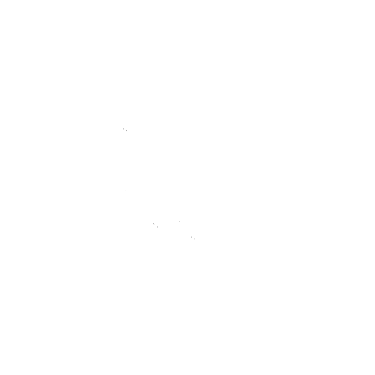 CCN(CCCS(=O)(=O)NC(=O)Nc1c2c(cc3c1CCC3)CCC2)C(C)C